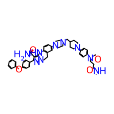 CNC(=O)CCN(C=O)c1ccc(N2CCC(CN3CCN(c4ccc5c(c4)CCn4nc(-c6ccc(Oc7ccccc7)cc6)c(C(N)=O)c4N5)CC3)CC2)cc1